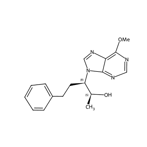 COc1ncnc2c1ncn2[C@H](CCc1ccccc1)[C@H](C)O